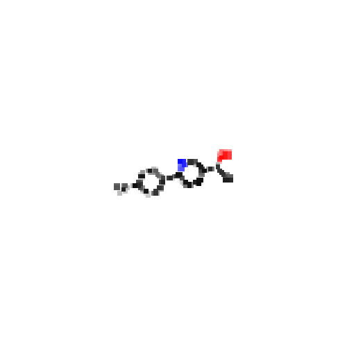 CCC(O)c1ccc(-c2ccc(C(F)(F)F)cc2)nc1